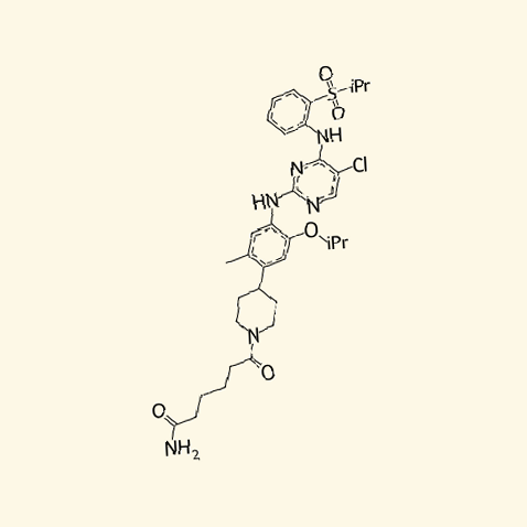 Cc1cc(Nc2ncc(Cl)c(Nc3ccccc3S(=O)(=O)C(C)C)n2)c(OC(C)C)cc1C1CCN(C(=O)CCCCC(N)=O)CC1